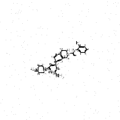 C=C(Nc1ccccc1F)N1CCc2ccc(-c3cc(N4CCN(C)CC4)nc(N)n3)cc2C1